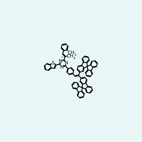 C/C(=C\c1ccccc1C)c1nc(-c2ccc(C=C(c3ccc4c(c3)C3(c5ccccc5-c5ccccc53)c3ccccc3-4)c3ccc4c(c3)C3(c5ccccc5-c5ccccc53)c3ccccc3-4)cc2)nc(-c2cc3ccccc3s2)n1